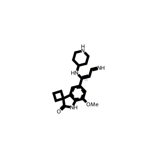 COc1cc(/C(=C/C=N)NC2CCNCC2)cc2c1NC(=O)C21CCC1